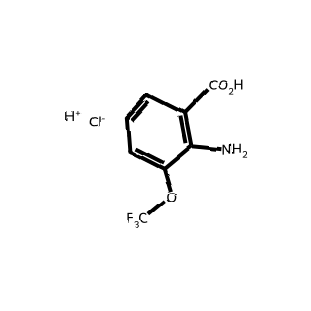 Nc1c(OC(F)(F)F)cccc1C(=O)O.[Cl-].[H+]